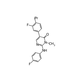 CC(C)c1ccc(-c2cnc(Nc3ccc(F)cc3)n(C)c2=O)cc1F